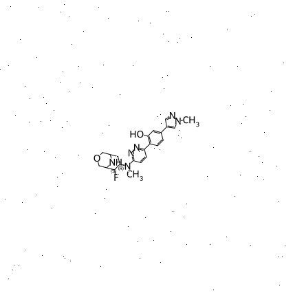 CN(c1ccc(-c2ccc(-c3cnn(C)c3)cc2O)nn1)[C@@H]1CC2COCC(N2)[C@@H]1F